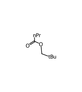 [CH2]C(C)(C)COC(=O)CCC